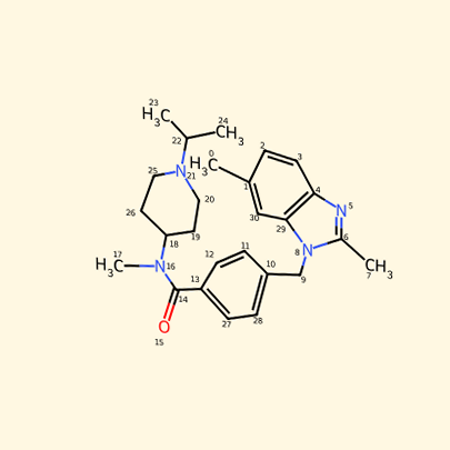 Cc1ccc2nc(C)n(Cc3ccc(C(=O)N(C)C4CCN(C(C)C)CC4)cc3)c2c1